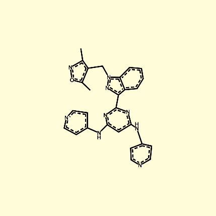 Cc1noc(C)c1Cn1nc(-c2nc(Nc3ccncc3)cc(Nc3ccncc3)n2)c2ccccc21